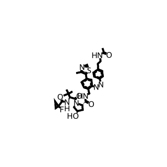 CC(=O)NCCc1ccc(/N=N\c2cc(-c3scnc3C)ccc2CNC(=O)[C@@H]2C[C@@H](O)CN2C(=O)[C@@H](NC(=O)C2(F)CC2)C(C)(C)C)cc1